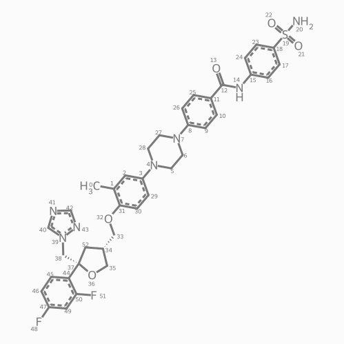 Cc1cc(N2CCN(c3ccc(C(=O)Nc4ccc(S(N)(=O)=O)cc4)cc3)CC2)ccc1OC[C@@H]1CO[C@@](Cn2cncn2)(c2ccc(F)cc2F)C1